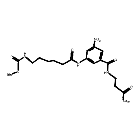 COC(=O)CCNC(=O)c1cc(NC(=O)CCCCCNC(=O)OC(C)(C)C)cc([N+](=O)[O-])c1